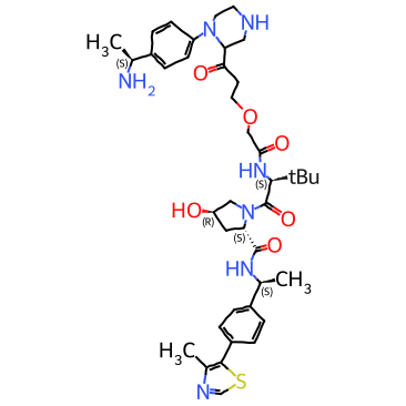 Cc1ncsc1-c1ccc([C@H](C)NC(=O)[C@@H]2C[C@@H](O)CN2C(=O)[C@@H](NC(=O)COCCC(=O)C2CNCCN2c2ccc([C@H](C)N)cc2)C(C)(C)C)cc1